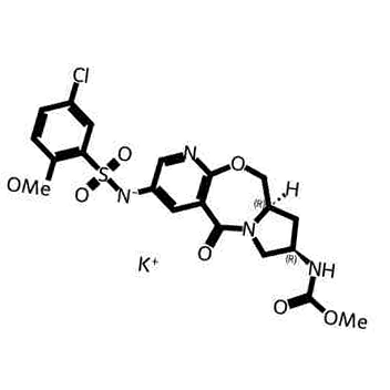 COC(=O)N[C@@H]1C[C@@H]2COc3ncc([N-]S(=O)(=O)c4cc(Cl)ccc4OC)cc3C(=O)N2C1.[K+]